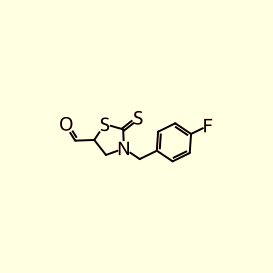 O=CC1CN(Cc2ccc(F)cc2)C(=S)S1